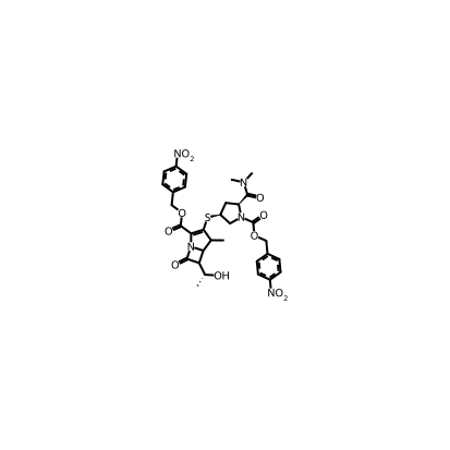 CC1C(S[C@H]2C[C@@H](C(=O)N(C)C)N(C(=O)OCc3ccc([N+](=O)[O-])cc3)C2)=C(C(=O)OCc2ccc([N+](=O)[O-])cc2)N2C(=O)C([C@@H](C)O)C12